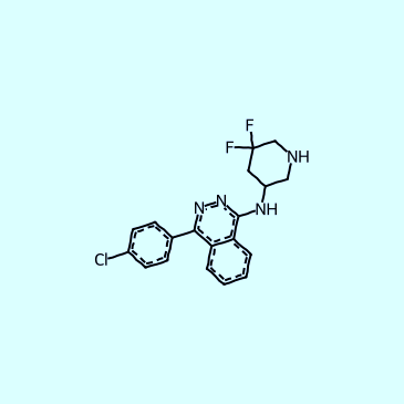 FC1(F)CNCC(Nc2nnc(-c3ccc(Cl)cc3)c3ccccc23)C1